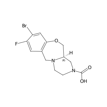 O=C(O)N1CCN2Cc3cc(F)c(Br)cc3OC[C@H]2C1